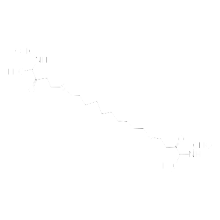 CC(NC=O)C(=O)CCSCCCCCCCCCCSCCC(=O)C(C)NC=O